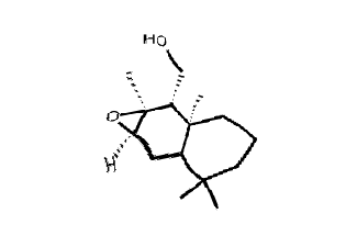 CC1(C)CCC[C@@]2(C)C1C[C@H]1O[C@@]1(C)[C@@H]2CO